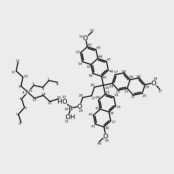 CCCC[N+](CCCC)(CCCC)CCCC.COc1ccc2cc(C(CCCOB(O)O)(c3ccc4cc(OC)ccc4c3)c3ccc4cc(OC)ccc4c3)ccc2c1